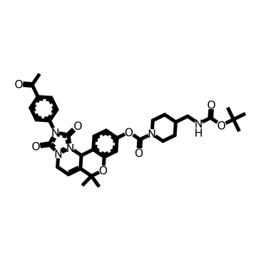 CC(=O)c1ccc(-n2c(=O)n3n(c2=O)C2C(=CC3)C(C)(C)Oc3cc(OC(=O)N4CCC(CNC(=O)OC(C)(C)C)CC4)ccc32)cc1